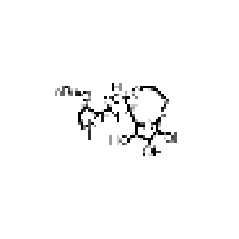 CCCCO[C@@H]1CCNC1C(=O)N[C@H]1C2OC(SCCCC[C@H]1C)C(O)C(O)C2O